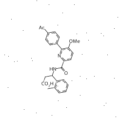 COc1ccc(C(=O)NC(CC(=O)O)c2ccccc2C)nc1-c1ccc(C(C)=O)cc1